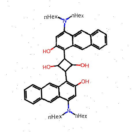 CCCCCCN(CCCCCC)c1cc(O)c(C2C(O)C(c3c(O)cc(N(CCCCCC)CCCCCC)c4cc5ccccc5cc34)C2O)c2cc3ccccc3cc12